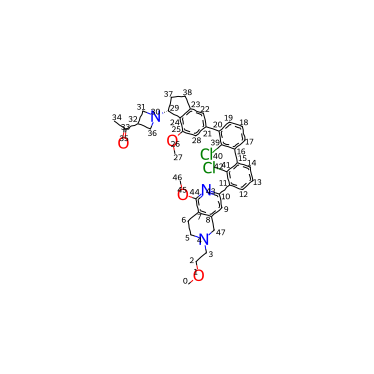 COCCN1CCc2c(cc(-c3cccc(-c4cccc(-c5cc6c(c(OC)c5)[C@H](N5CC(C(C)=O)C5)CC6)c4Cl)c3Cl)nc2OC)C1